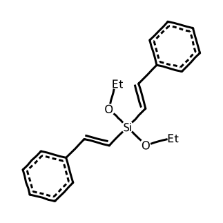 CCO[Si](/C=C/c1ccccc1)(/C=C/c1ccccc1)OCC